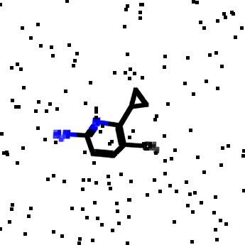 Cc1ccc(N)nc1C1CC1